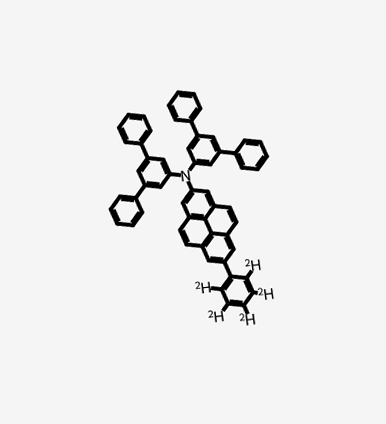 [2H]c1c([2H])c([2H])c(-c2cc3ccc4cc(N(c5cc(-c6ccccc6)cc(-c6ccccc6)c5)c5cc(-c6ccccc6)cc(-c6ccccc6)c5)cc5ccc(c2)c3c45)c([2H])c1[2H]